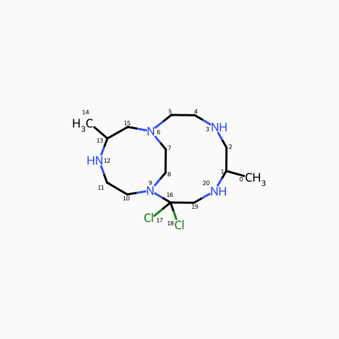 CC1CNCCN2CCN(CCNC(C)C2)C(Cl)(Cl)CN1